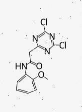 COc1ccccc1NC(=O)Cc1nc(Cl)nc(Cl)n1